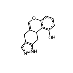 Oc1cccc2c1C1Cc3[nH]ncc3CC1=CO2